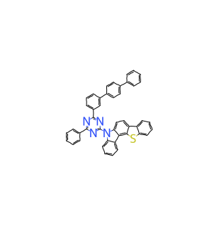 c1ccc(-c2ccc(-c3cccc(-c4nc(-c5ccccc5)nc(-n5c6ccccc6c6c7sc8ccccc8c7ccc65)n4)c3)cc2)cc1